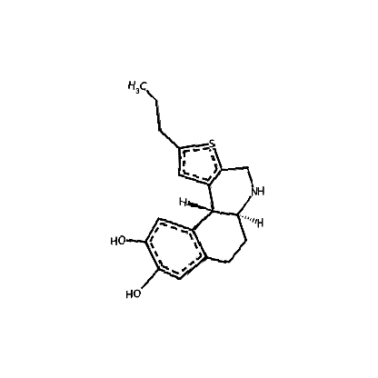 CCCc1cc2c(s1)CN[C@H]1CCc3cc(O)c(O)cc3[C@H]21